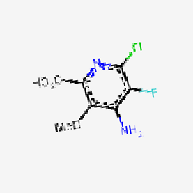 COc1c(C(=O)O)nc(Cl)c(F)c1N